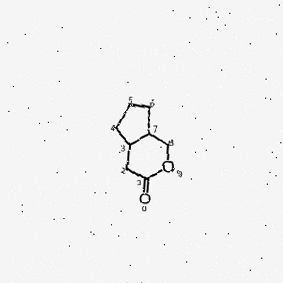 O=C1CC2CCCC2CO1